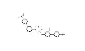 COc1ccc(-c2ccc(C(F)(F)F)cc2)cc1C(=O)NC(Cc1ccc(-c2ccc(C(F)(F)F)cc2)cc1)C(=O)O